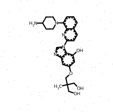 CC(CO)(CO)COc1cc(O)c2c(c1)ncn2-c1ccc2cccc(N3CCC(N)CC3)c2n1